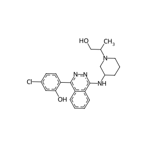 CC(CO)N1CCCC(Nc2nnc(-c3ccc(Cl)cc3O)c3ccccc23)C1